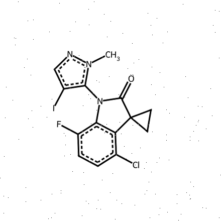 Cn1ncc(I)c1N1C(=O)C2(CC2)c2c(Cl)ccc(F)c21